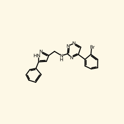 Brc1ccccc1-c1cnnc(NCc2cc(-c3ccccc3)[nH]n2)n1